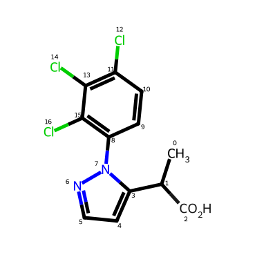 CC(C(=O)O)c1ccnn1-c1ccc(Cl)c(Cl)c1Cl